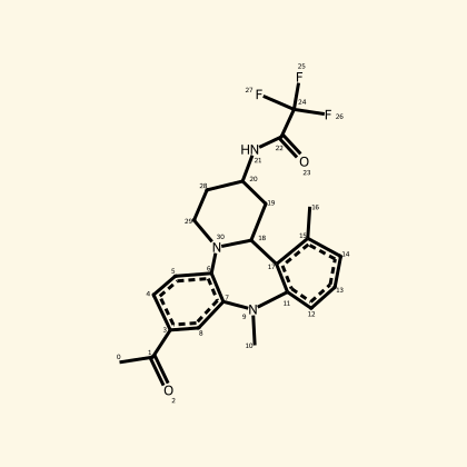 CC(=O)c1ccc2c(c1)N(C)c1cccc(C)c1C1CC(NC(=O)C(F)(F)F)CCN21